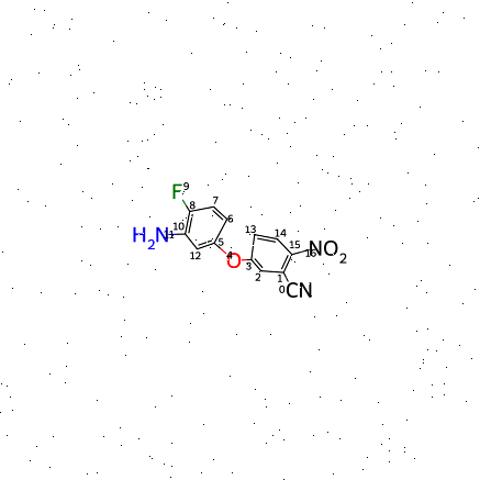 N#Cc1cc(Oc2ccc(F)c(N)c2)ccc1[N+](=O)[O-]